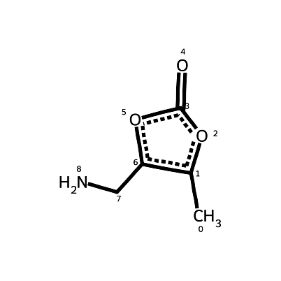 Cc1oc(=O)oc1CN